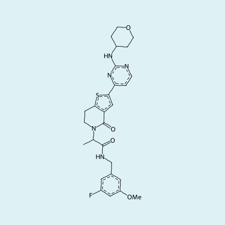 COc1cc(F)cc(CNC(=O)C(C)N2CCc3sc(-c4ccnc(NC5CCOCC5)n4)cc3C2=O)c1